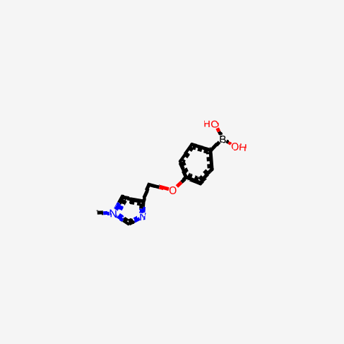 Cn1cnc(COc2ccc(B(O)O)cc2)c1